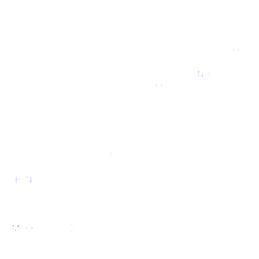 COC(=O)C(N)Cc1ccc(Oc2ccc(CC3SC(=O)NC3=O)cc2)cc1F